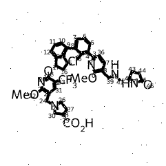 COc1nc(-c2cccc(-c3cccc4c3CC[C@@H]4Oc3nc(OC)c(CN4CC[C@@H](C(=O)O)C4)cc3C(F)(F)F)c2Cl)ccc1CNC[C@@H]1CCC(=O)N1